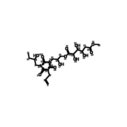 C=CCn1c(=O)n(CC(O)CC)c(=O)n(CC(O)COC(=O)C(O)C(O)C(O)CC(=O)OC)c1=O